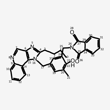 CCCCc1nc2cnc3ccccc3c2n1Cc1cc(C)c(O)c(CN2C(=O)c3ccccc3C2=O)c1